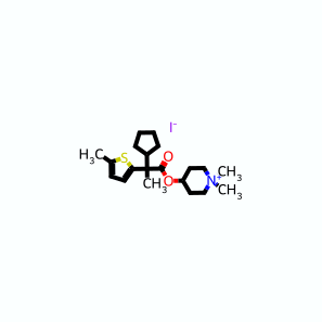 Cc1ccc(C(C)(C(=O)OC2CC[N+](C)(C)CC2)C2CCCC2)s1.[I-]